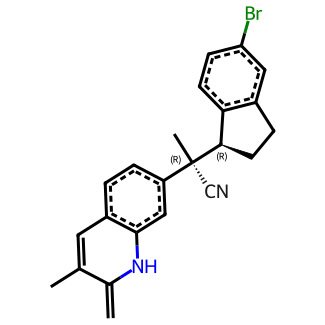 C=C1Nc2cc([C@](C)(C#N)[C@@H]3CCc4cc(Br)ccc43)ccc2C=C1C